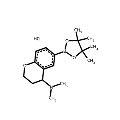 CN(C)C1CCOc2ccc(B3OC(C)(C)C(C)(C)O3)cc21.Cl